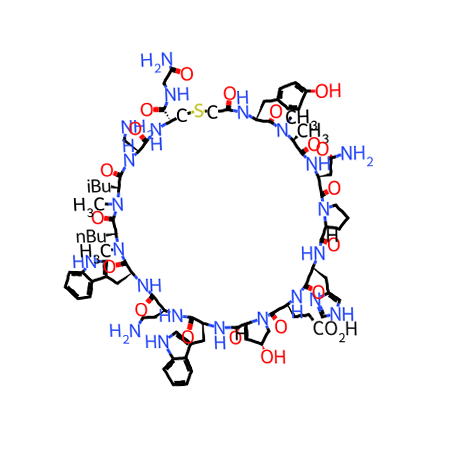 CCCC[C@H]1C(=O)N(C)[C@@H](C(C)CC)C(=O)N[C@@H](CN)C(=O)N[C@H](C(=O)NCC(N)=O)CSCC(=O)N[C@@H](Cc2ccc(O)cc2)C(=O)N(C)[C@@H](C)C(=O)N[C@@H](CC(N)=O)C(=O)N2CCC[C@H]2C(=O)N[C@@H](Cc2c[nH]cn2)C(=O)N[C@@H](CCC(=O)O)C(=O)N2C[C@H](O)C[C@H]2C(=O)N[C@@H](Cc2c[nH]c3ccccc23)C(=O)N[C@@H](CCN)C(=O)N[C@@H](Cc2c[nH]c3ccccc23)C(=O)N1C